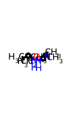 C=C(C)c1cccc(C(C)(C)NC(=O)Nc2ccc3c(c2)cc(C)n3C)c1